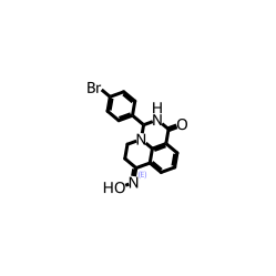 O=C1NC(c2ccc(Br)cc2)N2CC/C(=N\O)c3cccc1c32